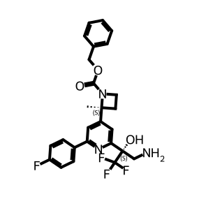 C[C@@]1(c2cc(-c3ccc(F)cc3)nc([C@@](O)(CN)C(F)(F)F)c2)CCN1C(=O)OCc1ccccc1